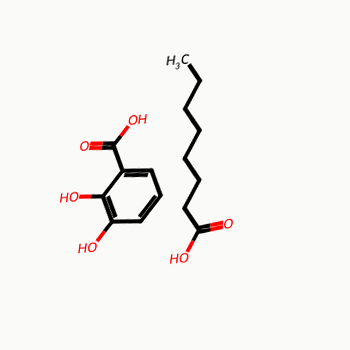 CCCCCCCC(=O)O.O=C(O)c1cccc(O)c1O